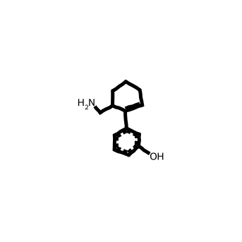 NCC1CCCC=C1c1cccc(O)c1